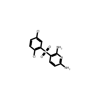 Nc1ccc(S(=O)(=O)c2cc(Cl)ccc2Cl)c(N)n1